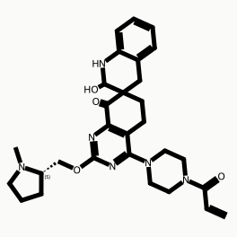 C=CC(=O)N1CCN(c2nc(OC[C@@H]3CCCN3C)nc3c2CCC2(Cc4ccccc4NC2O)C3=O)CC1